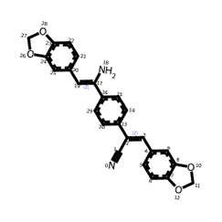 N#C/C(=C\c1ccc2c(c1)OCO2)c1ccc(/C(N)=C/c2ccc3c(c2)OCO3)cc1